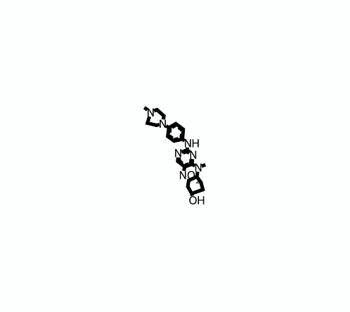 CN1CCN(c2ccc(Nc3ncc([N+](=O)[O-])c(N(C)C4CCC(O)CC4)n3)cc2)CC1